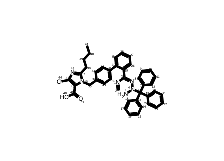 C=N/C(=N\N(N)C(c1ccccc1)(c1ccccc1)c1ccccc1)c1ccccc1-c1ccc(Cn2c(CCCC)nc(Cl)c2C(=O)O)cc1